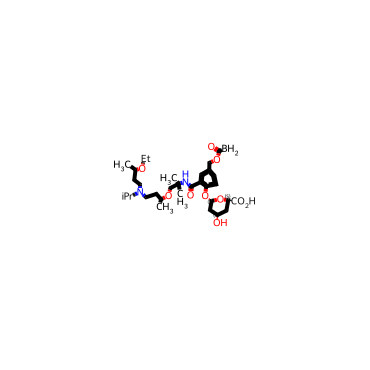 BC(=O)OCc1ccc(O[C@H]2C[C@@H](O)C[C@@H](C(=O)O)O2)c(C(=O)NC(C)(C)COC(C)CCN(CCC(C)OCC)C(C)C)c1